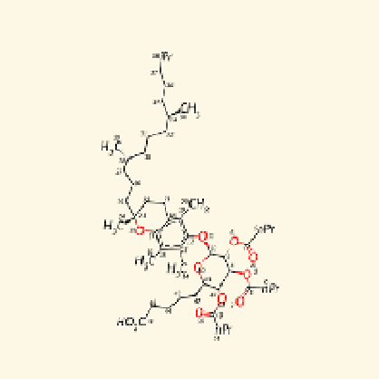 CCCC(=O)O[C@@H]1[C@@H](OC(=O)CCC)[C@H](Oc2c(C)c(C)c3c(c2C)CC[C@@](C)(CCC[C@H](C)CCC[C@H](C)CCCC(C)C)O3)O[C@H](CCCCC(=O)O)[C@H]1OC(=O)CCC